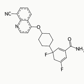 N#Cc1cccc2c(OC3CCC(C4(F)C=C(C(N)=O)C=C(F)C4)CC3)ccnc12